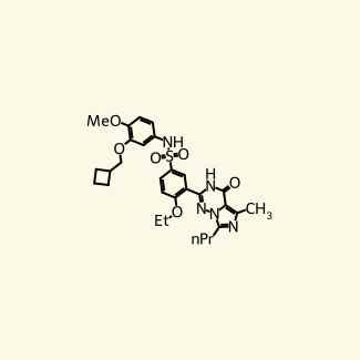 CCCc1nc(C)c2c(=O)[nH]c(-c3cc(S(=O)(=O)Nc4ccc(OC)c(OCC5CCC5)c4)ccc3OCC)nn12